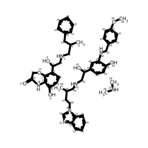 CC(CNCC(O)c1ccc(O)c2c1OCC(=O)N2)Cc1ccccc1.CNC.COc1ccc(CNc2cc(C(O)CNCC(C)CCn3cnc4ccccc43)ccc2O)cc1